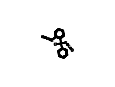 O=C=Nc1ccccc1C(Cl)(N=C=O)c1ccccc1